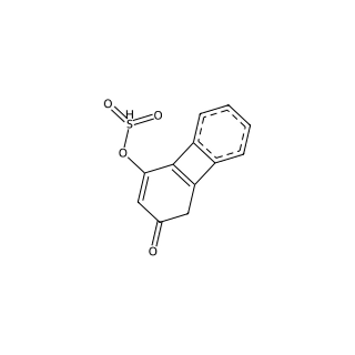 O=C1C=C(O[SH](=O)=O)C2=C(C1)c1ccccc12